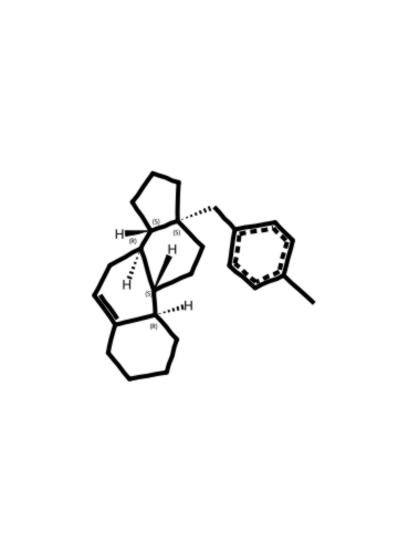 Cc1ccc(C[C@@]23CCC[C@H]2[C@@H]2CC=C4CCCC[C@@H]4[C@H]2CC3)cc1